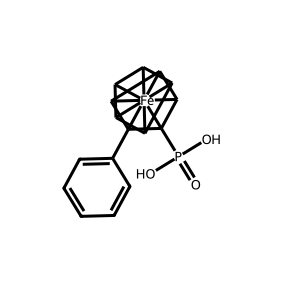 O=P(O)(O)[C]12[CH]3[CH]4[CH]5[C]1(c1ccccc1)[Fe]45321678[CH]2[CH]1[CH]6[CH]7[CH]28